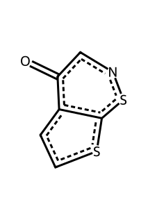 O=c1cnsc2sccc12